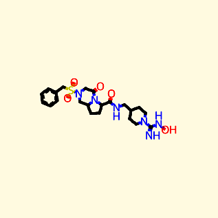 N=C(NO)N1CCC(CNC(=O)C2CCC3CN(S(=O)(=O)Cc4ccccc4)CC(=O)N32)CC1